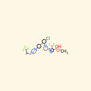 CCOC(O)c1cnn(C2CCCN(c3cc(Cl)ccc3-c3ccc(N4CCN(CC5CC5C(F)(F)F)CC4)cc3)C2)c1C(F)F